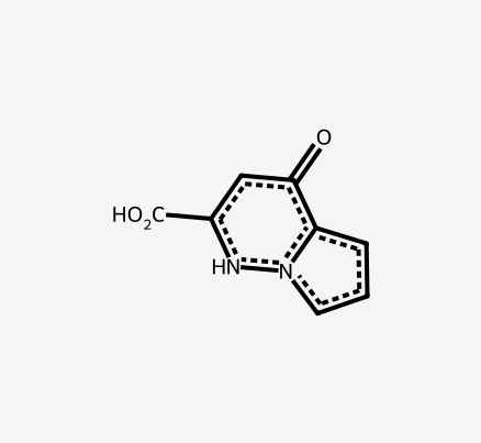 O=C(O)c1cc(=O)c2cccn2[nH]1